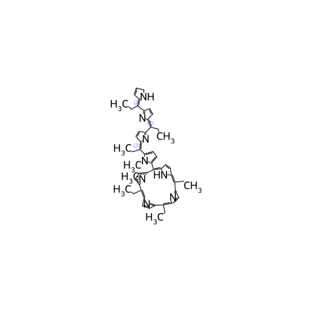 CC/C(C1=N/C(=C(/CC)c2ccc(-c3c4ccc([nH]4)c(CC)c4nc(c(CC)c5nc(c(CC)c6ccc3n6C)C=C5)C=C4)n2C)C=C1)=C1\C=CC(C(/CC)=C2/C=CCN2)=N1